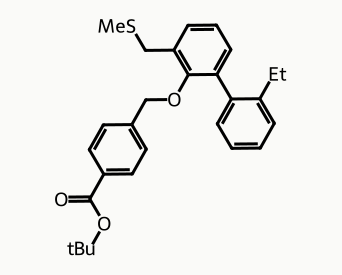 CCc1ccccc1-c1cccc(CSC)c1OCc1ccc(C(=O)OC(C)(C)C)cc1